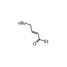 [CH2]CC(=O)C=CCCCCC